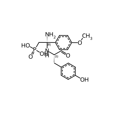 COc1ccc([C@](N)(CP(=O)(O)O)N[C@H](C=O)Cc2ccc(O)cc2)cc1